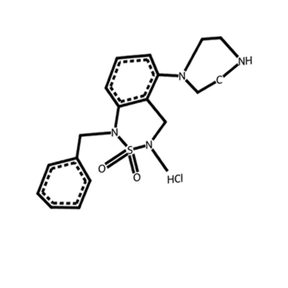 CN1Cc2c(N3CCNCC3)cccc2N(Cc2ccccc2)S1(=O)=O.Cl